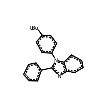 CC(C)(C)c1ccc(-n2c(-c3ccccc3)nc3ccccc32)cc1